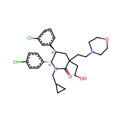 O=C1N(CC2CC2)[C@H](c2ccc(Cl)cc2)[C@@H](c2cccc(Cl)c2)CC1(CCO)CCN1CCOCC1